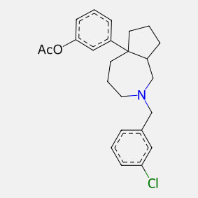 CC(=O)Oc1cccc(C23CCCC2CN(Cc2cccc(Cl)c2)CCC3)c1